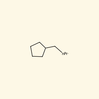 CC[CH]CC1CCCC1